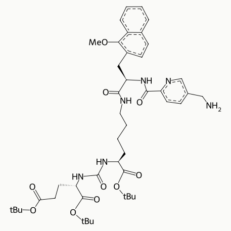 COc1c(C[C@@H](NC(=O)c2ccc(CN)cn2)C(=O)NCCCC[C@H](NC(=O)N[C@@H](CCC(=O)OC(C)(C)C)C(=O)OC(C)(C)C)C(=O)OC(C)(C)C)ccc2ccccc12